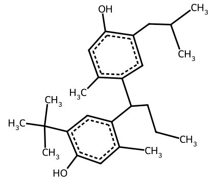 CCCC(c1cc(CC(C)C)c(O)cc1C)c1cc(C(C)(C)C)c(O)cc1C